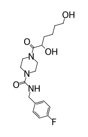 O=C(NCc1ccc(F)cc1)N1CCN(C(=O)C(O)CCCCO)CC1